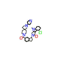 Cn1c2c(c3c(Cl)cccc31)C(=O)N(C1CCc3ccc(C(=O)N4CCC5(CC4)CCN(c4ccncc4)C5)cc31)C2